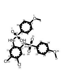 COc1ccc(S(=O)(=O)Nc2cc(Cl)c(Cl)cc2NS(=O)(=O)c2ccc(OC)cc2)cc1